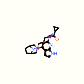 N#CCCCSN1C2CCC1CN(c1cc(NC(=O)C3CC3)nc3[nH]ccc13)C2